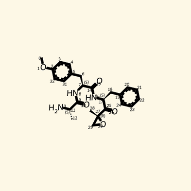 COc1ccc(C[C@H](NC(=O)[C@H](C)N)C(=O)N[C@@H](Cc2ccccc2)C(=O)[C@@]2(C)CO2)cc1